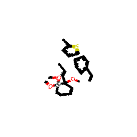 C=Cc1ccccc1.CCCC1(OC)CCCC[Si]1(OC)OC.Cc1cccs1